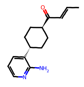 C/C=C/C(=O)[C@H]1CC[C@H](c2cccnc2N)CC1